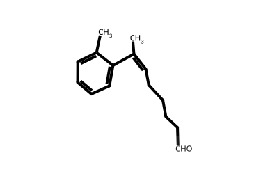 C/C(=C/CCCCC=O)c1ccccc1C